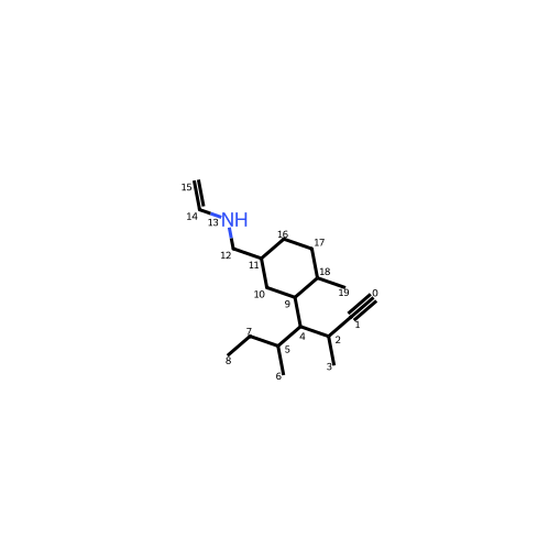 C#CC(C)C(C(C)CC)C1CC(CNC=C)CCC1C